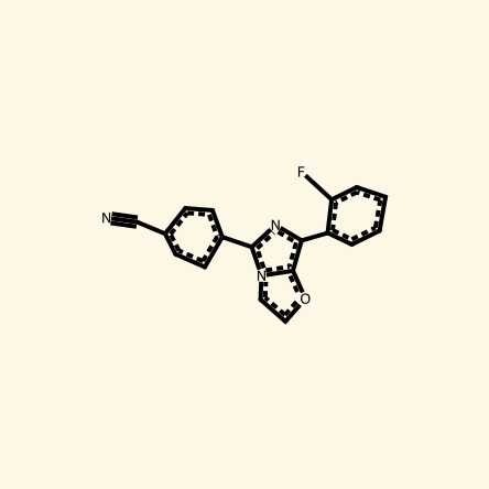 N#Cc1ccc(-c2nc(-c3ccccc3F)c3occn23)cc1